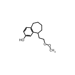 COOCCC1CCCCc2ccc(O)cc21